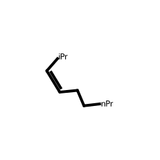 CCCCC/C=C\C(C)C